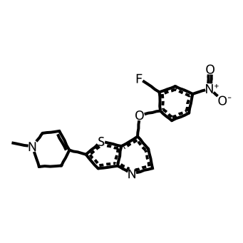 CN1CC=C(c2cc3nccc(Oc4ccc([N+](=O)[O-])cc4F)c3s2)CC1